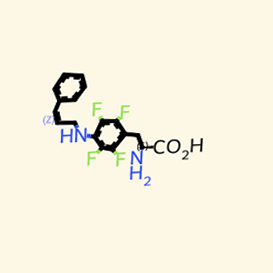 N[C@@H](Cc1c(F)c(F)c(NC/C=C\c2ccccc2)c(F)c1F)C(=O)O